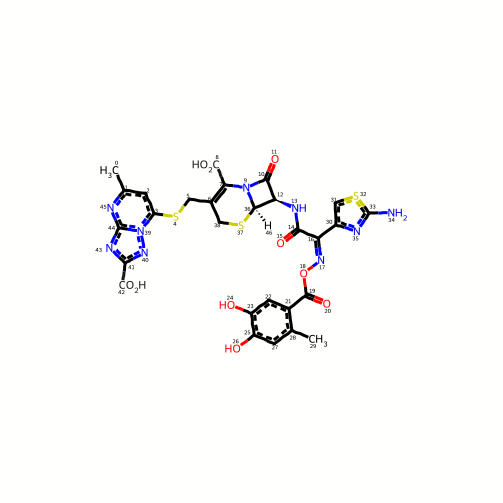 Cc1cc(SCC2=C(C(=O)O)N3C(=O)[C@@H](NC(=O)/C(=N\OC(=O)c4cc(O)c(O)cc4C)c4csc(N)n4)[C@H]3SC2)n2nc(C(=O)O)nc2n1